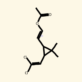 CC(=O)O/C=C/C1C(C=C(Cl)Cl)C1(C)C